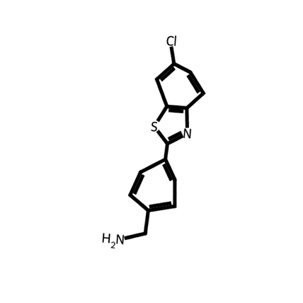 NCc1ccc(-c2nc3ccc(Cl)cc3s2)cc1